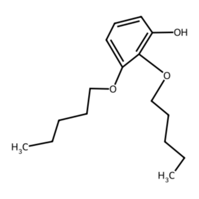 CCCCCOc1cccc(O)c1OCCCCC